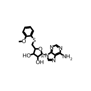 COc1ccccc1SCC1O[C@@H](n2cnc3c(N)ncnc32)C(O)C1O